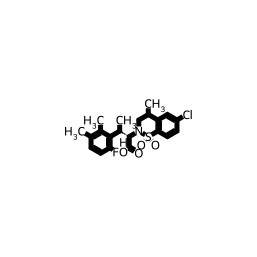 Cc1ccc(F)c(C(C)[C@@H](C(=O)O)N2CC(C)c3cc(Cl)ccc3S2(=O)=O)c1C